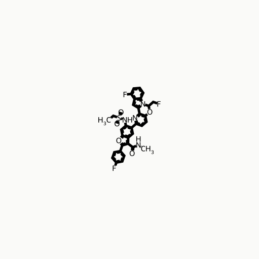 CCS(=O)(=O)Nc1cc2oc(-c3ccc(F)cc3)c(C(=O)NC)c2cc1-c1ccc2c(n1)-c1cc3c(F)cccc3n1C(CF)O2